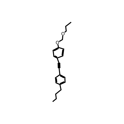 CCCCc1ccc(C#Cc2ccc(OCOCCC)cc2)cc1